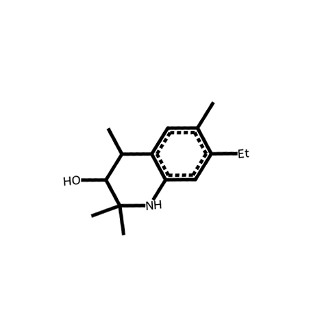 CCc1cc2c(cc1C)C(C)C(O)C(C)(C)N2